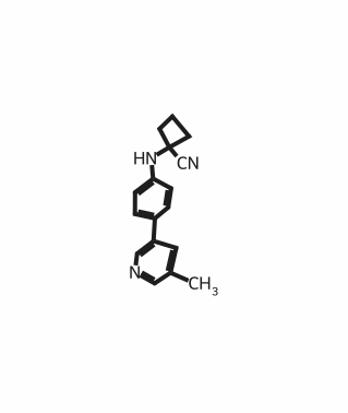 Cc1cncc(-c2ccc(NC3(C#N)CCC3)cc2)c1